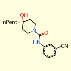 CCCCCC1(O)CCN(C(=O)Nc2cccc(C#N)c2)CC1